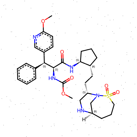 COC(=O)N[C@H](C(=O)N[C@H]1CCC[C@@H]1CC[C@H]1CN[C@@H]2CCCS(=O)(=O)N1C2)[C@@H](c1ccccc1)c1ccc(OC)nc1